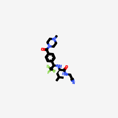 CC(C)C[C@H](NC(c1ccc(C(=O)N2CCN(C)CC2)cc1)C(F)(F)F)C(=O)NCC#N